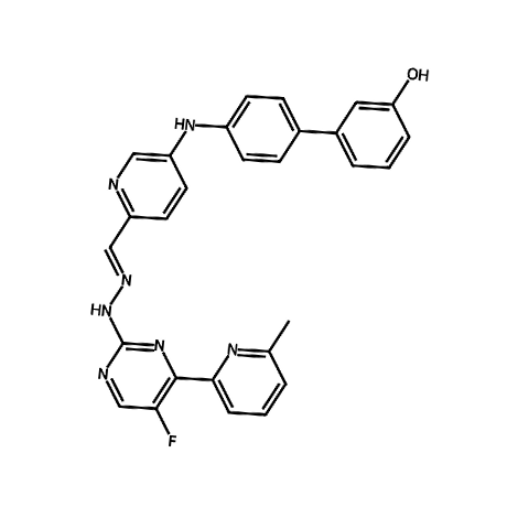 Cc1cccc(-c2nc(N/N=C/c3ccc(Nc4ccc(-c5cccc(O)c5)cc4)cn3)ncc2F)n1